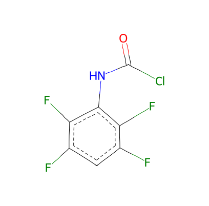 O=C(Cl)Nc1c(F)c(F)cc(F)c1F